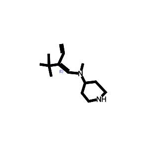 C=C/C(=C\N(C)C1CCNCC1)C(C)(C)C